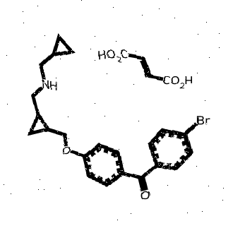 O=C(O)/C=C/C(=O)O.O=C(c1ccc(Br)cc1)c1ccc(OCC2CC2CNCC2CC2)cc1